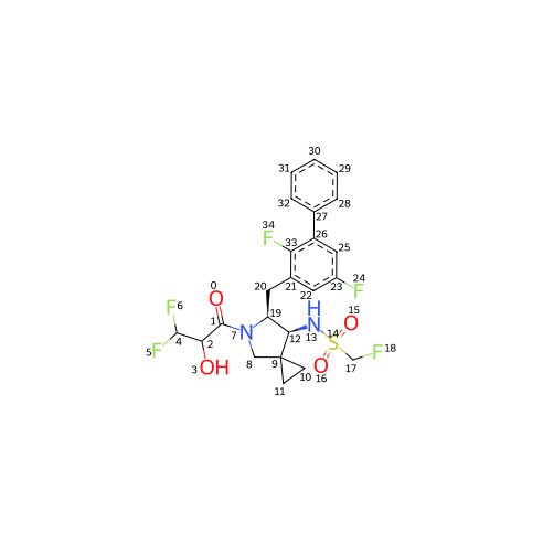 O=C(C(O)C(F)F)N1CC2(CC2)[C@H](NS(=O)(=O)CF)[C@@H]1Cc1cc(F)cc(-c2ccccc2)c1F